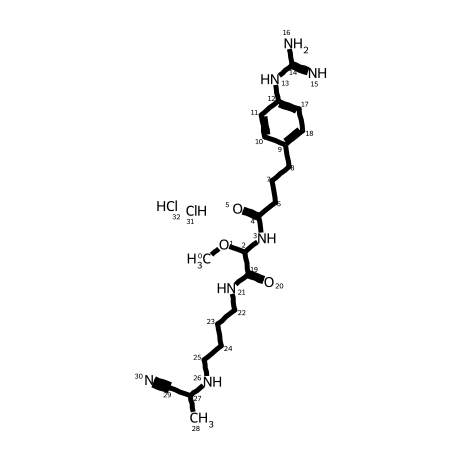 COC(NC(=O)CCCc1ccc(NC(=N)N)cc1)C(=O)NCCCCNC(C)C#N.Cl.Cl